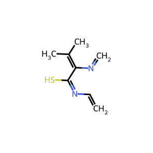 C=C/N=C(/S)C(N=C)=C(C)C